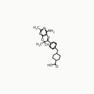 Cc1nc(N)c2c(n1)OC(C)(C)C(c1ccc(CC3CCC(C(=O)O)CC3)cc1)=N2